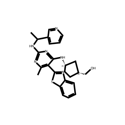 Cc1nc(NC(C)c2cccnc2)nc(N[C@H]2CC[C@@H](CO)C2)c1-c1nc2ccccc2s1